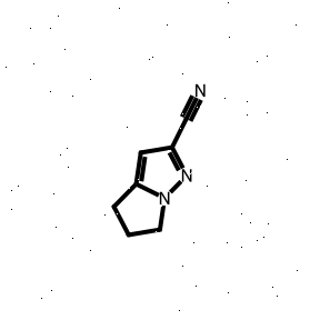 N#Cc1cc2n(n1)CCC2